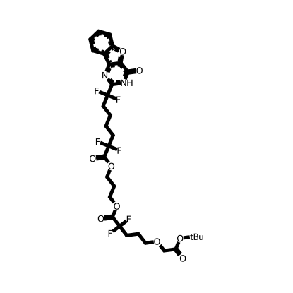 CC(C)(C)OC(=O)COCCCC(F)(F)C(=O)OCCCOC(=O)C(F)(F)CCCCC(F)(F)c1nc2c(oc3ccccc32)c(=O)[nH]1